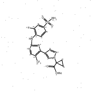 COC(=O)C1(n2cc(-c3nc(Nc4ccc(S(N)(=O)=O)cc4F)ncc3C(F)(F)F)cn2)CC1